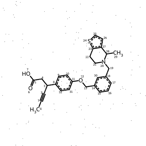 CC#CC(CC(=O)O)c1ccc(OCc2cccc(CN3CCc4sccc4C3C)c2)cc1